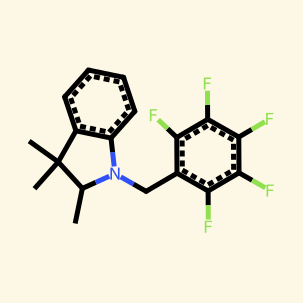 CC1N(Cc2c(F)c(F)c(F)c(F)c2F)c2ccccc2C1(C)C